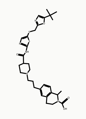 CC1c2ccc(CCCN3CCC(C(=O)Nc4ncc(SCc5ncc(C(C)(C)C)o5)s4)CC3)cc2CCN1C(=O)O